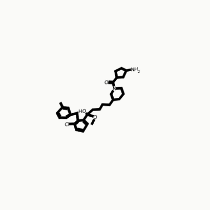 COC(O)(CCCCC1CCCN(C(=O)C2CCC(N)C2)C1)c1cccc(Cl)c1Cc1cccc(C)c1